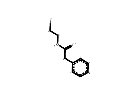 O=C(Cc1ccccc1)OCCI